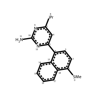 CSc1ccc(-c2cc(C(C)C)nc(N)n2)c2ccccc12